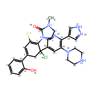 CN1CCN(C2=C(F)C=C(c3ccccc3O)CC2(Cl)c2cnc(-c3cn[nH]c3)c(N3CCNCC3)c2)C1=O